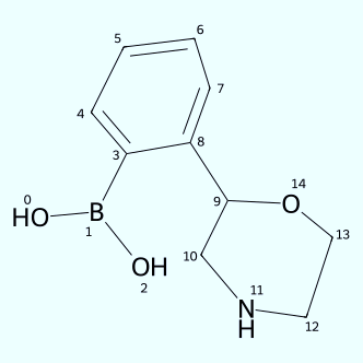 OB(O)c1ccccc1C1CNCCO1